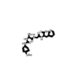 CSc1ccc(NC(=O)NC(C(=O)NCC(=O)NC(Cc2cccnc2)C(N)=O)C(C)(C)C)cc1